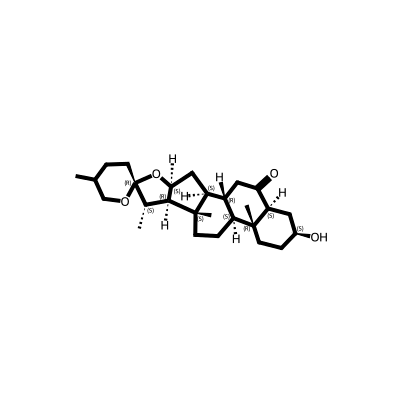 CC1CC[C@@]2(OC1)O[C@H]1C[C@H]3[C@@H]4CC(=O)[C@H]5C[C@@H](O)CC[C@]5(C)[C@H]4CC[C@]3(C)[C@H]1[C@@H]2C